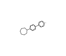 [c]1ccc(-c2ccc(C3CCCCCC3)cc2)cc1